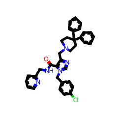 O=C(NCc1ccccn1)c1c(CN2CCC(c3ccccc3)(c3ccccc3)CC2)ncn1Cc1ccc(Cl)cc1